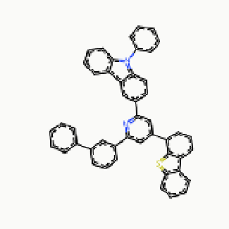 c1ccc(-c2cccc(-c3cc(-c4cccc5c4sc4ccccc45)cc(-c4ccc5c(c4)c4ccccc4n5-c4ccccc4)n3)c2)cc1